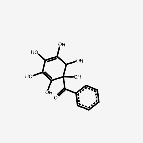 O=C(c1ccccc1)C1(O)C(O)=C(O)C(O)=C(O)C1O